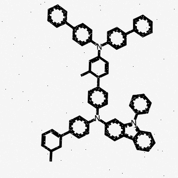 CC1C=CC=C(c2ccc(N(c3ccc(C4C=CC(N(c5ccc(-c6ccccc6)cc5)c5ccc(-c6ccccc6)cc5)=CC4C)cc3)c3ccc4c5ccccc5n(-c5ccccc5)c4c3)cc2)C1